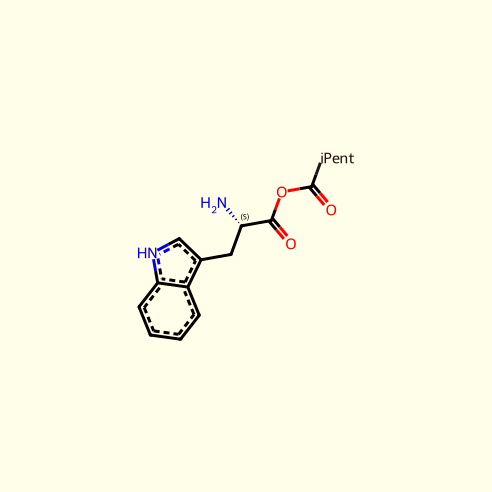 CCCC(C)C(=O)OC(=O)[C@@H](N)Cc1c[nH]c2ccccc12